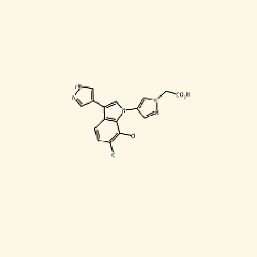 O=C(O)Cn1cc(-n2cc(-c3cn[nH]c3)c3ccc(Cl)c(Cl)c32)cn1